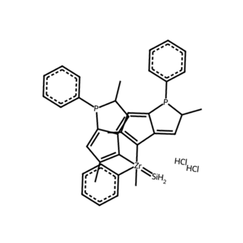 CC1=[C]([Zr]([CH3])(=[SiH2])([C]2=C(C)C=C3C2=CC(C)P3c2ccccc2)[c]2ccccc2)C2=CC(C)P(c3ccccc3)C2=C1.Cl.Cl